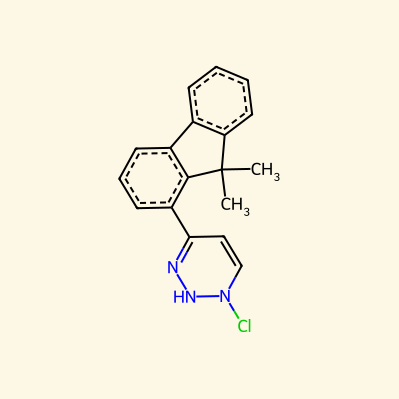 CC1(C)c2ccccc2-c2cccc(C3=NNN(Cl)C=C3)c21